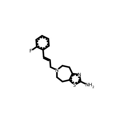 Nc1nc2c(s1)CCN(CC=Cc1ccccc1F)CC2